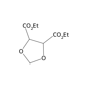 CCOC(=O)C1O[CH]OC1C(=O)OCC